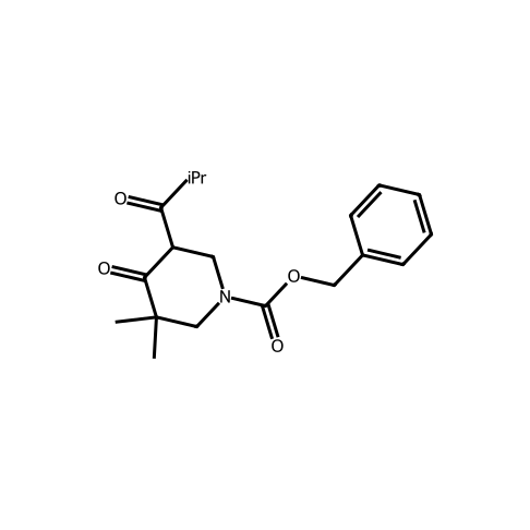 CC(C)C(=O)C1CN(C(=O)OCc2ccccc2)CC(C)(C)C1=O